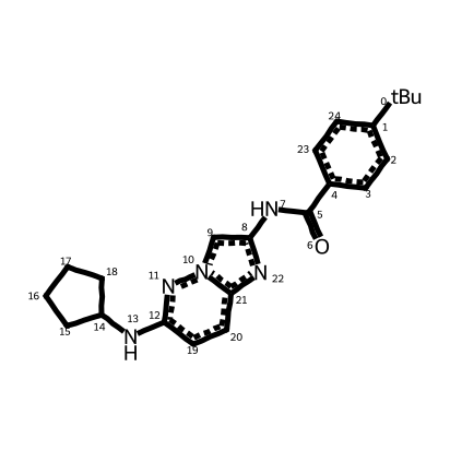 CC(C)(C)c1ccc(C(=O)Nc2cn3nc(NC4CCCC4)ccc3n2)cc1